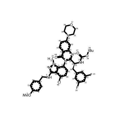 COc1ccc(CNc2nn(C)c3c(-n4c([C@H](Cc5cc(F)cc(F)c5)NC(=O)OC(C)(C)C)nc5cc(N6CCOCC6)ccc5c4=O)ccc(Cl)c23)cc1